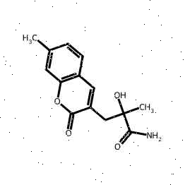 Cc1ccc2cc(CC(C)(O)C(N)=O)c(=O)oc2c1